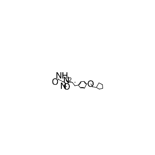 NC(=O)c1noc([CH]Cc2ccc(OCC3CCCC3)cc2)n1